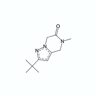 CN1Cc2cc(C(C)(C)C)nn2CC1=O